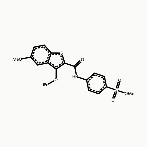 COc1ccc2sc(C(=O)Nc3ccc(S(=O)(=O)OC)cc3)c(OC(C)C)c2c1